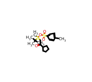 Cc1ccc(S(=O)(=O)OS(C)(CC(=O)C2CCCC2)C(C)(C)C)cc1